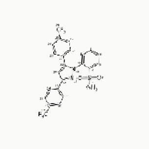 NS(=O)(=O)c1ccccc1-n1nc(-c2ccc(C(F)(F)F)cc2)cc1-c1ccc(C(F)(F)F)cc1